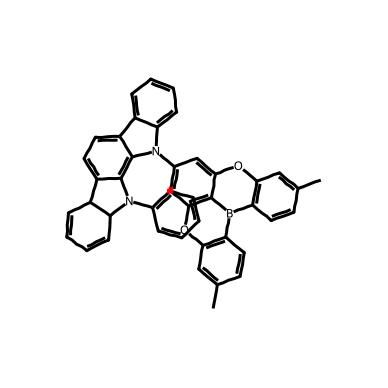 Cc1ccc2c(c1)Oc1cc(-n3c4ccccc4c4ccc5c(c43)N(c3ccccc3)C3C=CC=CC53)cc3c1B2c1ccc(C)cc1O3